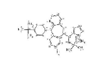 Cn1cncc1C(NC(C)(C)C)C1=Cc2cccnc2C(N2CCN(C(C)(C)C)CC2)c2ccc(Cl)cc21